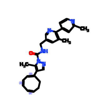 Cc1cc(-c2ncc(CNC(=O)n3ncc(/C4=C/C=C\C=C/CC4)c3C)cc2C)ccn1